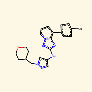 N#Cc1ccc(-c2cccn3nc(Nc4cnn(CC5CCOCC5)c4)nc23)cc1